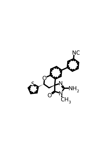 [C-]#[N+]c1cccc(-c2ccc3c(c2)[C@]2(C[C@H](c4cccs4)O3)N=C(N)N(C)C2=O)c1